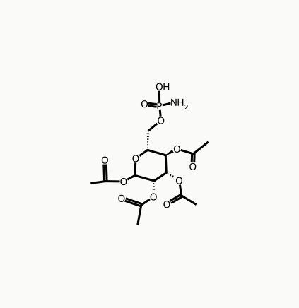 CC(=O)OC1O[C@H](COP(N)(=O)O)[C@@H](OC(C)=O)[C@H](OC(C)=O)[C@@H]1OC(C)=O